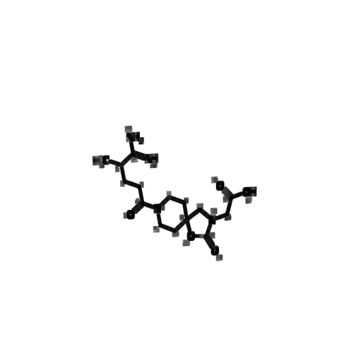 CC(CCC(=O)N1CCC2(CC1)CN(CC(=O)O)C(=O)O2)C(=N)N